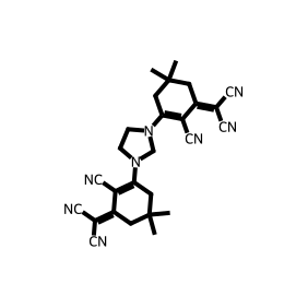 CC1(C)CC(=C(C#N)C#N)C(C#N)=C(N2CCN(C3=C(C#N)C(=C(C#N)C#N)CC(C)(C)C3)C2)C1